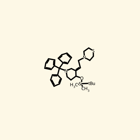 CC(C)(C)[Si](C)(C)OC1CCN(C(c2ccccc2)(c2ccccc2)c2ccccc2)CC1=CCN1CCSCC1